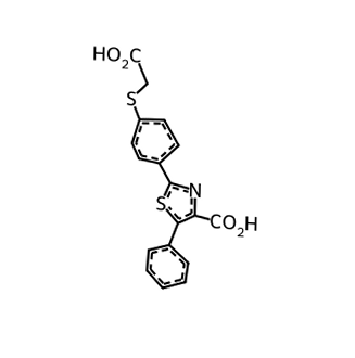 O=C(O)CSc1ccc(-c2nc(C(=O)O)c(-c3ccccc3)s2)cc1